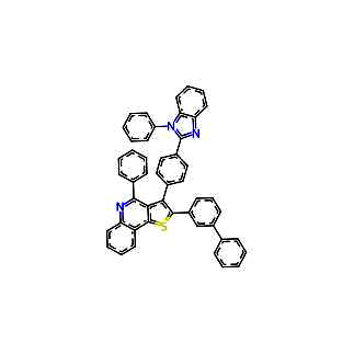 c1ccc(-c2cccc(-c3sc4c(c(-c5ccccc5)nc5ccccc54)c3-c3ccc(-c4nc5ccccc5n4-c4ccccc4)cc3)c2)cc1